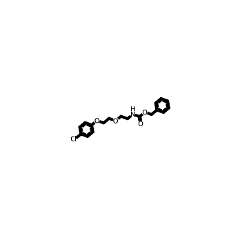 O=C(NCCOCCOc1ccc(Cl)cc1)OCc1ccccc1